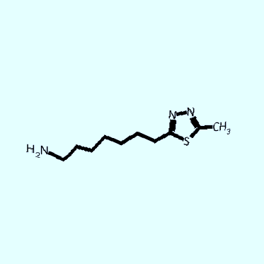 Cc1nnc(CCCCCCCN)s1